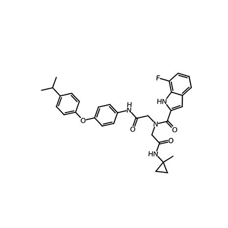 CC(C)c1ccc(Oc2ccc(NC(=O)CN(CC(=O)NC3(C)CC3)C(=O)c3cc4cccc(F)c4[nH]3)cc2)cc1